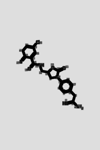 N=C(N)Cc1ccc(N2CC(CNC(=O)C3=CC(Cl)=CCC3=S)OC2=O)cc1